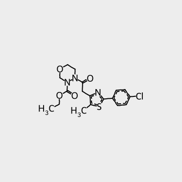 CCOC(=O)N1COCCN1C(=O)Cc1nc(-c2ccc(Cl)cc2)sc1C